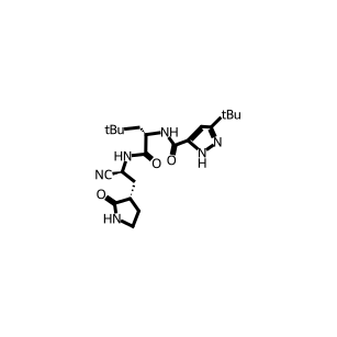 CC(C)(C)C[C@H](NC(=O)c1cc(C(C)(C)C)n[nH]1)C(=O)N[C@H](C#N)C[C@@H]1CCNC1=O